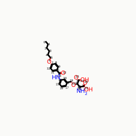 CCCCCCOc1ccc(C(=O)Nc2cccc(CO[C@H](C(=O)O)[C@H](N)C(=O)O)c2)cc1